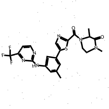 Cc1cc(Nc2nccc(C(F)(F)F)n2)cc(-c2cnc(C(=O)N3CCN(C)C(=O)C3C)s2)c1